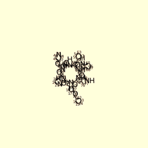 O=C1N[C@@H](Cc2ccc(OCc3ccccc3)cc2)C(=O)N[C@@H](Cc2cccnc2)C(=O)N2C[C@H](Oc3ccncc3)C[C@H]2C(=O)N[C@@H](CCc2ccccc2)C(=O)N[C@H](Cc2c[nH]c3ccccc23)C(=O)NC1CC1CCNCC1